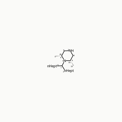 CCCCCCCC(CCCCCCC)N1[C@H](C)CNC[C@@H]1C